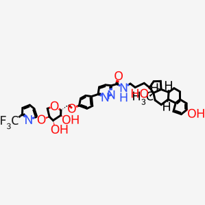 C[C@]12CC[C@@H]3c4ccc(O)cc4CC[C@H]3[C@@H]1CC[C@@]2(O)CCCNC(=O)c1ccc(-c2ccc(OC[C@H]3OC[C@H](Oc4cccc(C(F)(F)F)n4)[C@@H](O)[C@H]3O)cc2)nn1